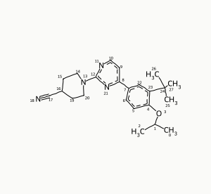 CC(C)Oc1ccc(-c2ccnc(N3CCC(C#N)CC3)n2)cc1C(C)(C)C